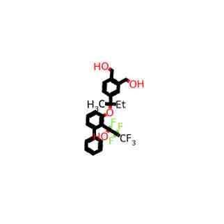 CCC(C)(Oc1cccc(-c2ccccc2)c1C(O)(F)C(F)(F)C(F)(F)F)c1ccc(CO)c(CO)c1